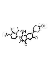 C[C@@H](Nc1nn(C)c(=O)c2cc(=O)n(N3CCC(C)(O)CC3)cc12)c1cccc(C(F)(F)F)c1F